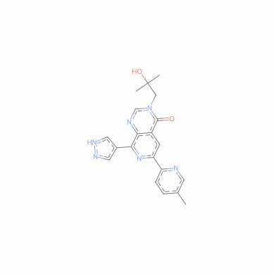 Cc1ccc(-c2cc3c(=O)n(CC(C)(C)O)cnc3c(-c3cn[nH]c3)n2)nc1